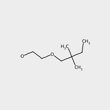 CCC(C)(C)COCC[O]